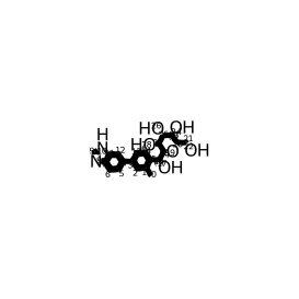 Cc1cc(-c2ccc3nc[nH]c3c2)ccc1[C@@H](O)[C@H]1OC(CO)[C@@H](O)C(O)C1O